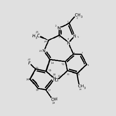 Cc1nc2n(n1)-c1ccc(C)c(Cl)c1C(c1nc(O)ccc1F)=N[C@H]2C